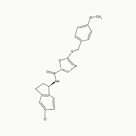 COc1ccc(CSc2ncc(C(=O)N[C@@H]3CCc4cc(Cl)ccc43)s2)cc1